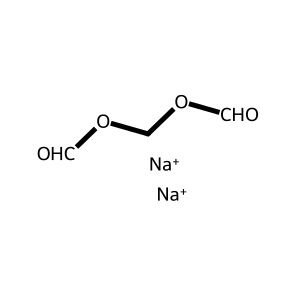 O=[C-]OCO[C-]=O.[Na+].[Na+]